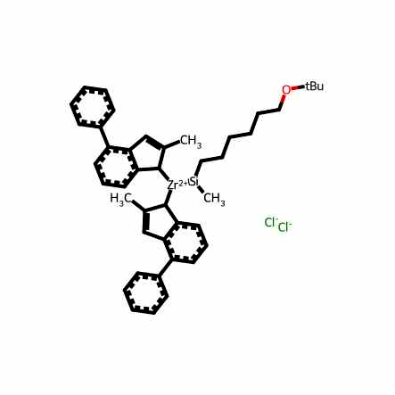 CC1=Cc2c(-c3ccccc3)cccc2[CH]1[Zr+2]([CH]1C(C)=Cc2c(-c3ccccc3)cccc21)=[Si](C)CCCCCCOC(C)(C)C.[Cl-].[Cl-]